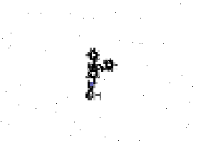 OCC/N=C/c1ccc(OCc2ccccc2)c(OCc2ccccc2)c1